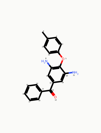 Cc1ccc(Oc2c(N)cc(C(=O)c3ccccc3)cc2N)cc1